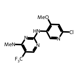 CNc1nc(Nc2cnc(Cl)cc2OC)ncc1C(F)(F)F